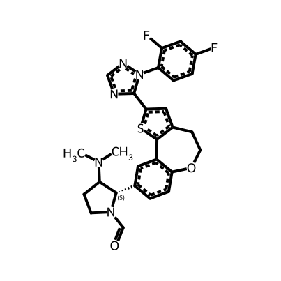 CN(C)C1CCN(C=O)[C@H]1c1ccc2c(c1)-c1sc(-c3ncnn3-c3ccc(F)cc3F)cc1CCO2